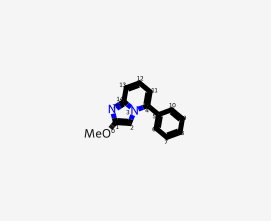 COc1cn2c(-c3ccccc3)cccc2n1